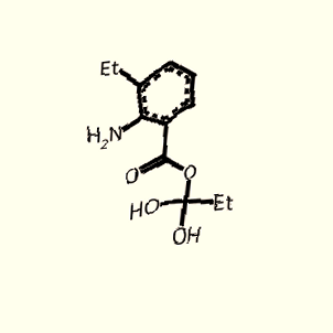 CCc1cccc(C(=O)OC(O)(O)CC)c1N